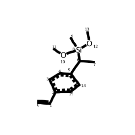 C=Cc1ccc(C(C)[Si](C)(OC)OC)cc1